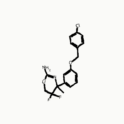 CC1(c2cccc(OCc3ccc(Cl)cc3)c2)N=C(N)OCC1(F)F